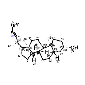 CCC/C=C/[C@@H](C)[C@H]1CC[C@H]2[C@@H]3CC[C@H]4C[C@@H](O)CC[C@]4(C)[C@H]3CC[C@]12C